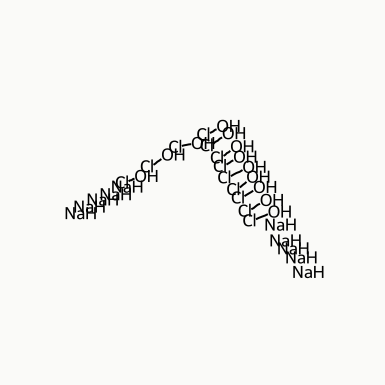 OCl.OCl.OCl.OCl.OCl.OCl.OCl.OCl.OCl.OCl.OCl.OCl.[NaH].[NaH].[NaH].[NaH].[NaH].[NaH].[NaH].[NaH].[NaH].[NaH]